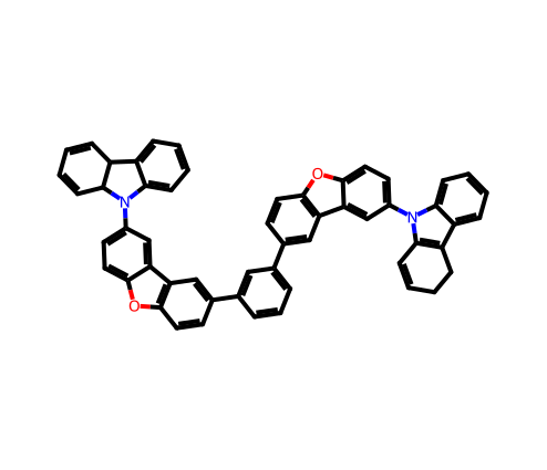 C1=CC2c3ccccc3N(c3ccc4oc5ccc(-c6cccc(-c7ccc8oc9ccc(-n%10c%11c(c%12ccccc%12%10)CCC=C%11)cc9c8c7)c6)cc5c4c3)C2C=C1